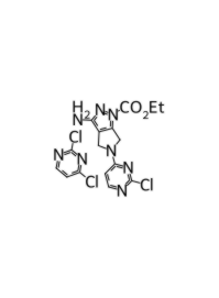 CCOC(=O)n1nc(N)c2c1CN(c1ccnc(Cl)n1)C2.Clc1ccnc(Cl)n1